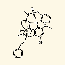 COc1cc(O)c2c3c1OC1[C@H](N(C)S(=O)(=O)Cc4ccccc4)CC[C@H]4[C@@H](C2)N(CCc2ccccc2)CC[C@]314